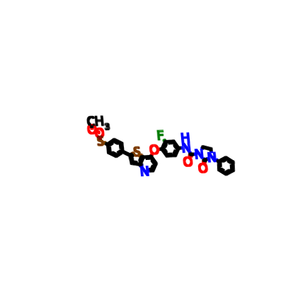 COOSc1ccc(-c2cc3nccc(Oc4ccc(NC(=O)N5CCN(c6ccccc6)C5=O)cc4F)c3s2)cc1